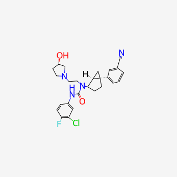 N#Cc1cccc([C@]23CC[C@@H](N(CCN4CC[C@@H](O)C4)C(=O)Nc4ccc(F)c(Cl)c4)[C@H]2C3)c1